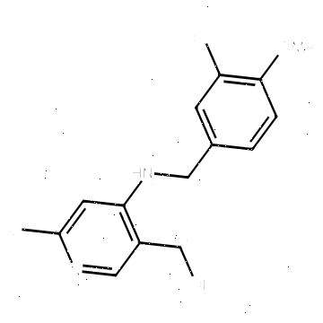 COc1ccc(CNc2cc(Cl)ncc2CO)cc1Cl